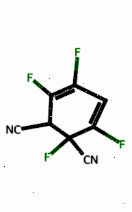 N#CC1C(F)=C(F)C=C(F)C1(F)C#N